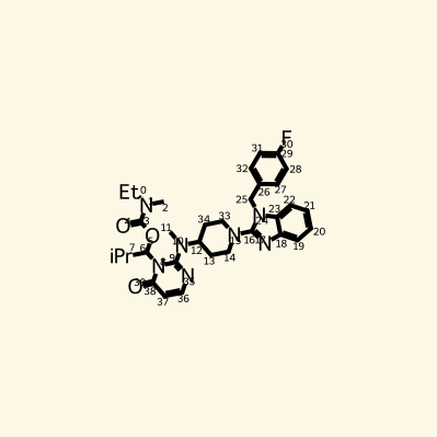 CCN(C)C(=O)OC(C(C)C)n1c(N(C)C2CCN(c3nc4ccccc4n3Cc3ccc(F)cc3)CC2)nccc1=O